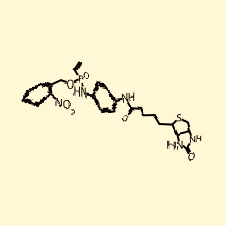 C=CP(=O)(Nc1ccc(NC(=O)CCCCC2SCC3NC(=O)NC32)cc1)OCc1ccccc1[N+](=O)[O-]